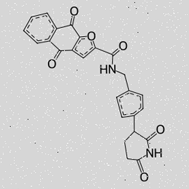 O=C1CCC(c2ccc(CNC(=O)c3cc4c(o3)C(=O)c3ccccc3C4=O)cc2)C(=O)N1